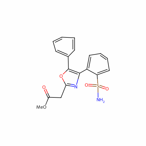 COC(=O)Cc1nc(-c2ccccc2S(N)(=O)=O)c(-c2ccccc2)o1